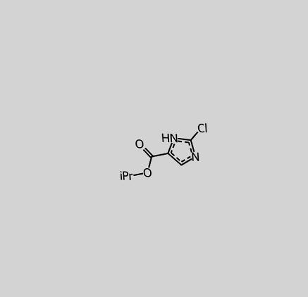 CC(C)OC(=O)c1cnc(Cl)[nH]1